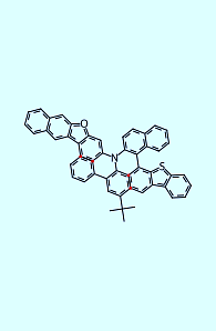 CC(C)(C)c1ccc(N(c2ccc3c(c2)oc2cc4ccccc4cc23)c2ccc3ccccc3c2-c2cccc3c2sc2ccccc23)c(-c2ccccc2)c1